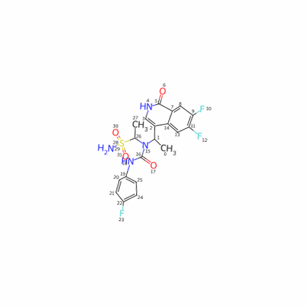 CC(c1c[nH]c(=O)c2cc(F)c(F)cc12)N(C(=O)Nc1ccc(F)cc1)C(C)S(N)(=O)=O